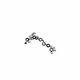 CC(C)Oc1cc2nn(C3CCC(CN4CCCC(c5ccc(OC6CCC(=O)NC6=O)cc5)C4)CC3)cc2cc1C(=O)Nc1cccn(C2CC2)c1=O